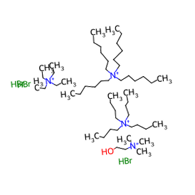 Br.Br.Br.CCCCCC[N+](CCCCCC)(CCCCCC)CCCCCC.CCCC[N+](CCCC)(CCCC)CCCC.CC[N+](CC)(CC)CC.C[N+](C)(C)CCO